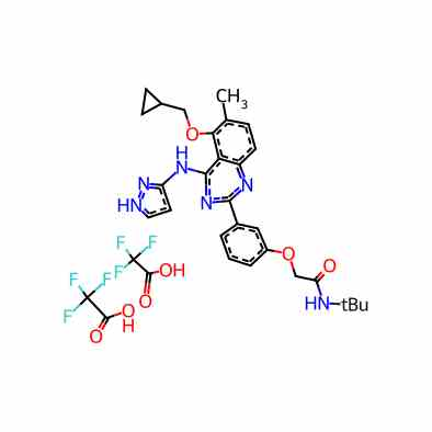 Cc1ccc2nc(-c3cccc(OCC(=O)NC(C)(C)C)c3)nc(Nc3cc[nH]n3)c2c1OCC1CC1.O=C(O)C(F)(F)F.O=C(O)C(F)(F)F